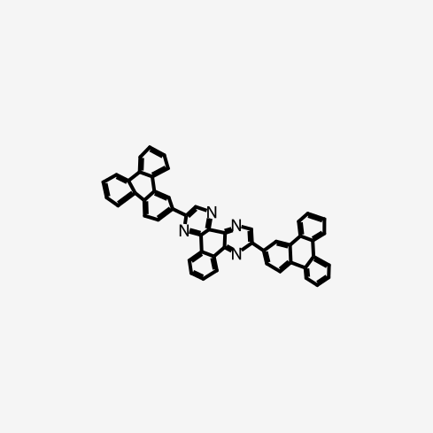 c1ccc2c(c1)c1ccccc1c1cc(-c3cnc4c(n3)c3ccccc3c3nc(-c5ccc6c7ccccc7c7ccccc7c6c5)cnc34)ccc21